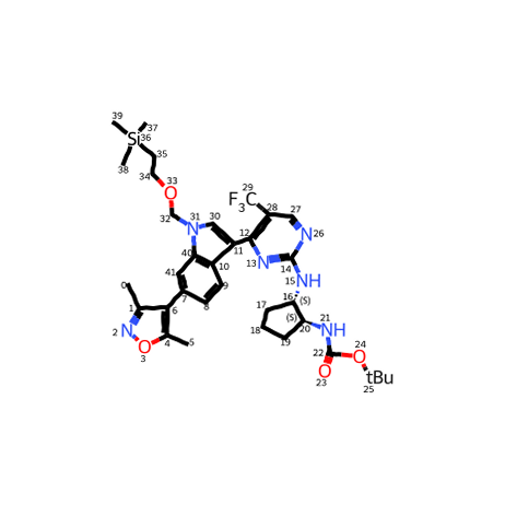 Cc1noc(C)c1-c1ccc2c(-c3nc(N[C@H]4CCC[C@@H]4NC(=O)OC(C)(C)C)ncc3C(F)(F)F)cn(COCC[Si](C)(C)C)c2c1